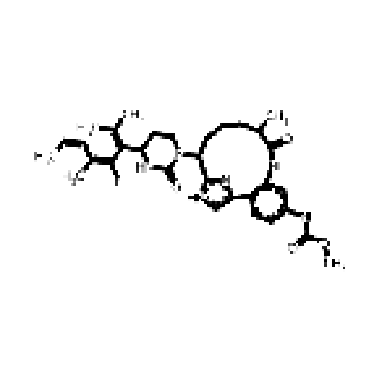 C/C=C\C(C)=C(\F)C(=C(C)C)C1CCN(C2CCCC(C)C(=O)Nc3cc(NC(=O)OC)ccc3-c3c[nH]c2n3)C(=O)N1